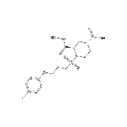 O=C(O)[C@@H]1CCN(S(=O)(=O)CCCOc2ccc(F)cc2)[C@@H](C(=O)NO)C1